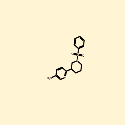 Nc1ccc(C2CCCN(S(=O)(=O)c3ccccc3)C2)nc1